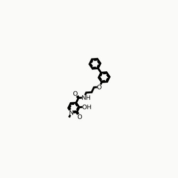 Cn1ccc(C(=O)NCCCOc2cccc(-c3ccccc3)c2)c(O)c1=O